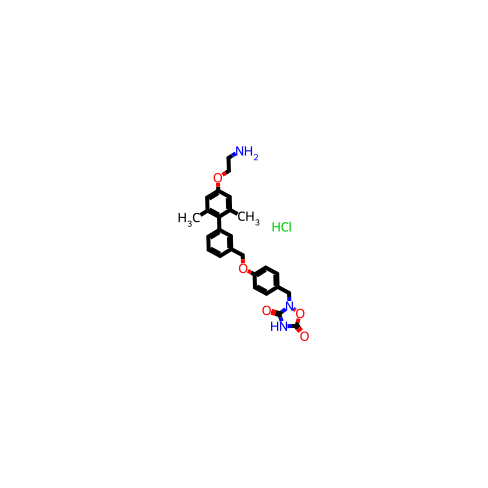 Cc1cc(OCCN)cc(C)c1-c1cccc(COc2ccc(Cn3oc(=O)[nH]c3=O)cc2)c1.Cl